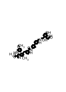 COc1cccc(Nc2c(C(N)=O)cnc3c(C)cc(Cc4cccc(C(=O)Nc5ccc(-c6ccc(CNC[C@H](O)c7ccc(O)c8[nH]c(=O)ccc78)cc6)cc5)c4)cc23)c1